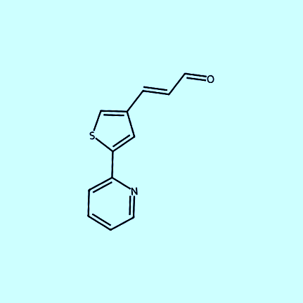 O=CC=Cc1csc(-c2ccccn2)c1